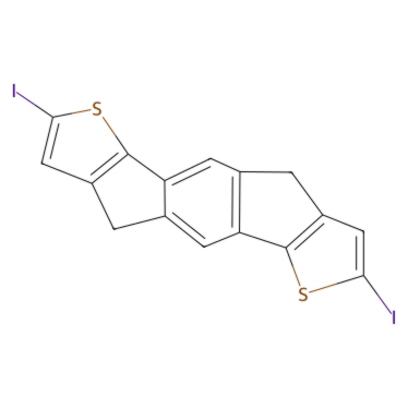 Ic1cc2c(s1)-c1cc3c(cc1C2)-c1sc(I)cc1C3